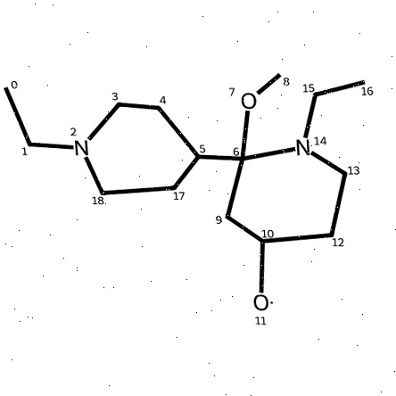 CCN1CCC(C2(OC)CC([O])CCN2CC)CC1